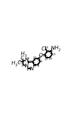 CC1(C)CN2C=Nc3ccc(Oc4cccc(N)c4Cl)cc3C2=N1